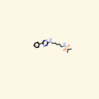 CC(C)S(=O)(=O)NCCCCCNc1cnc(-c2ccccc2)cn1